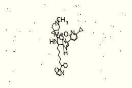 COc1nc(C2CC2)ccc1-c1c[nH]c(C(CCCCCC(=O)c2ncco2)NC(=O)[C@H]2CC23CCN(C)CC3)n1